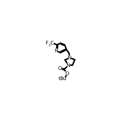 CC(C)(C)OC(=O)N1CCN(Cc2ccc(C(F)(F)F)nc2)C1